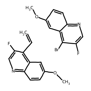 C=Cc1c(F)cnc2ccc(OC)cc12.COc1ccc2ncc(F)c(Br)c2c1